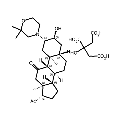 CC(=O)[C@H]1CC[C@H]2[C@@H]3CC[C@H]4C[C@H](O)[C@@H](N5CCOC(C)(C)C5)C[C@]4(C)[C@H]3C(=O)C[C@]12C.O=C(O)CC(O)(CC(=O)O)C(=O)O